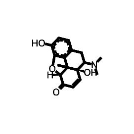 CN(C)C1Cc2ccc(O)c3c2C2(C)[C@@H](O3)C(=O)C=C[C@@]12O